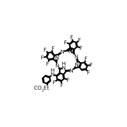 CCOC(=O)c1cccc(Nc2c(F)c(F)c(F)c3c4nc5nc(nc6c7c(F)c(F)c(F)c(F)c7c(nc7nc(nc([nH]4)c23)-c2c(F)c(F)c(F)c(F)c2-7)n6F)-c2c-5cc(F)c(F)c2F)c1